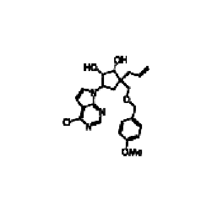 C=CC[C@@]1(COCc2ccc(OC)cc2)CC(n2ccc3c(Cl)ncnc32)[C@H](O)[C@@H]1O